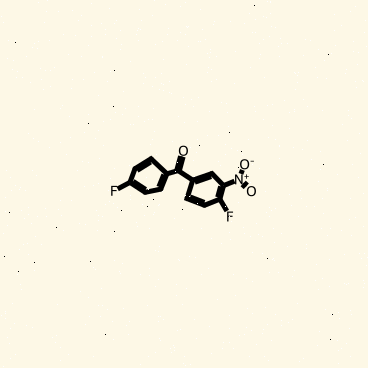 O=C(c1ccc(F)cc1)c1ccc(F)c([N+](=O)[O-])c1